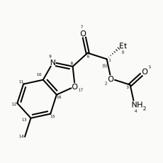 CC[C@H](OC(N)=O)C(=O)c1nc2ccc(C)cc2o1